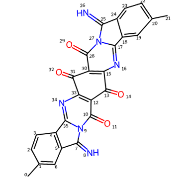 Cc1ccc2c(c1)c(=N)n1c(=O)c3c(=O)c4nc5c6cc(C)ccc6c(=N)n5c(=O)c4c(=O)c3nc21